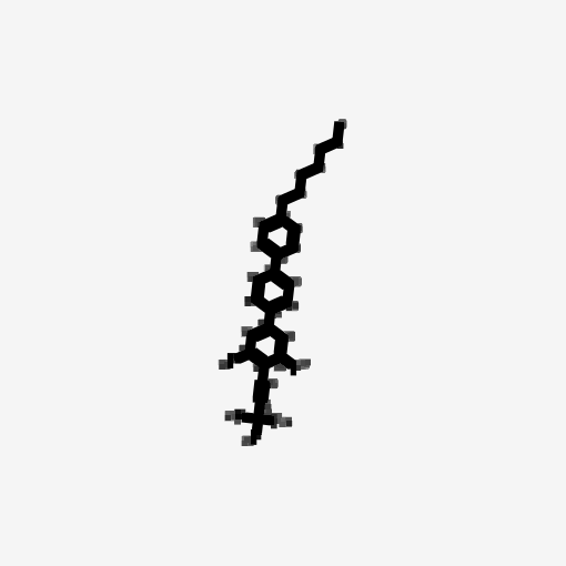 CCCCCCCc1ccc(-c2ccc(-c3cc(F)c(C#CC(F)(F)F)c(F)c3)cc2)cc1